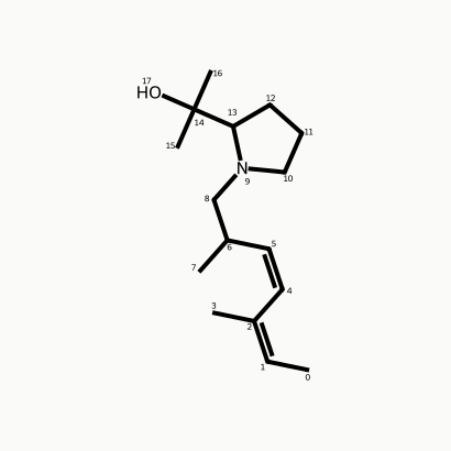 C/C=C(C)\C=C/C(C)CN1CCCC1C(C)(C)O